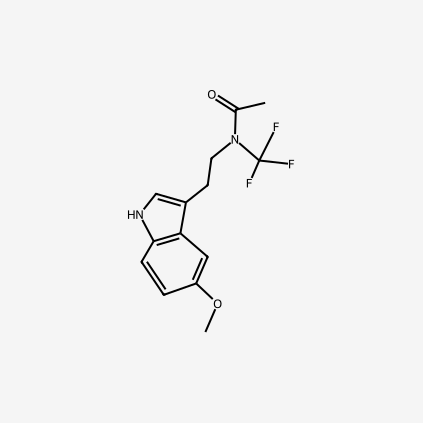 COc1ccc2[nH]cc(CCN(C(C)=O)C(F)(F)F)c2c1